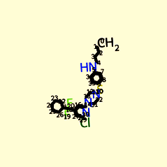 C=CCCCNc1ccc(SN2CCN(c3cc(C(F)(F)C4CCCCC4)cc(Cl)n3)CC2)cc1